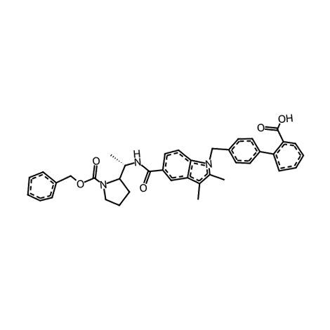 Cc1c(C)n(Cc2ccc(-c3ccccc3C(=O)O)cc2)c2ccc(C(=O)N[C@@H](C)C3CCCN3C(=O)OCc3ccccc3)cc12